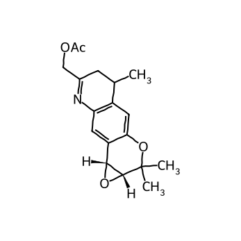 CC(=O)OCC1=Nc2cc3c(cc2C(C)C1)OC(C)(C)[C@@H]1O[C@H]31